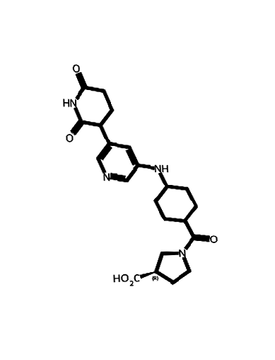 O=C1CCC(c2cncc(NC3CCC(C(=O)N4CC[C@@H](C(=O)O)C4)CC3)c2)C(=O)N1